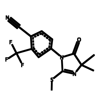 CSC1=NC(C)(C)C(=O)N1c1ccc(C#N)c(C(F)(F)F)c1